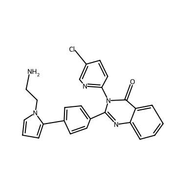 NCCn1cccc1-c1ccc(-c2nc3ccccc3c(=O)n2-c2ccc(Cl)cn2)cc1